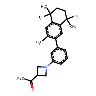 COC(=O)C1CN(c2cccc(-c3cc4c(cc3C)C(C)(C)CCC4(C)C)c2)C1